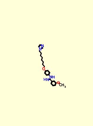 COc1cccc(C(=N)Nc2ccc(OCCCCCCCCn3ccnc3)cc2)c1